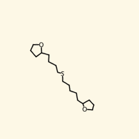 C(CCSCCCCC1CCCO1)CCC1CCCO1